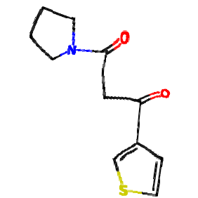 O=C(CC(=O)N1CCCC1)c1ccsc1